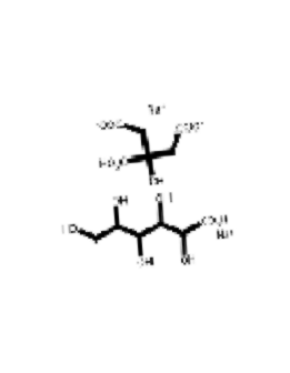 O=C(O)C(O)C(O)C(O)C(O)CO.O=C([O-])CC(O)(CC(=O)[O-])C(=O)O.[Na+].[Na+]